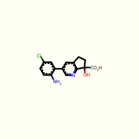 Nc1ccc(Cl)cc1-c1cnc2c(c1)CCC2(O)C(=O)O